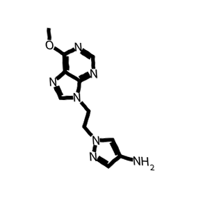 COc1ncnc2c1ncn2CCn1cc(N)cn1